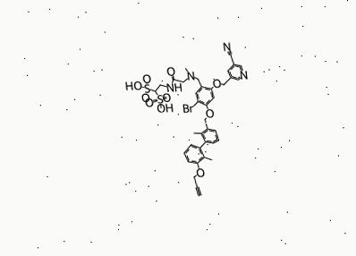 C#CCOc1cccc(-c2cccc(COc3cc(OCc4cncc(C#N)c4)c(CN(C)CC(=O)NCC(S(=O)(=O)O)S(=O)(=O)O)cc3Br)c2C)c1C